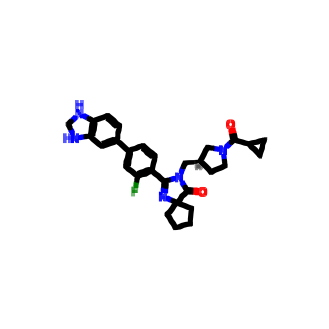 O=C(C1CC1)N1CC[C@@H](CN2C(=O)C3(CCCC3)N=C2c2ccc(-c3ccc4c(c3)NCN4)cc2F)C1